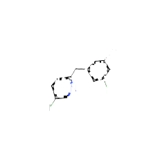 Clc1ccc([CH]c2cc(Cl)cc(Br)c2)nc1